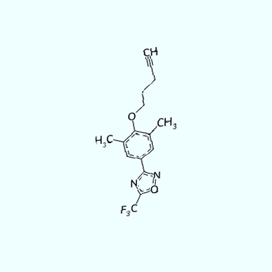 C#CCCCOc1c(C)cc(-c2noc(C(F)(F)F)n2)cc1C